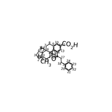 C[C@@]12CCC[C@H]1[C@@H]1CCc3cc(C(=O)O)cc(C(=O)CCc4ccccc4)c3[C@H]1CC2